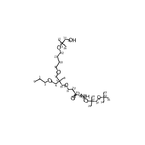 CCCOCC(C)(COCCCCOC(C)(C)CO)COCCC(=O)NOC(C)(C)COC(C)(C)C